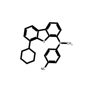 CN(c1ccc(C#N)cc1)c1cccc2c1sc1c(C3CCCCC3)cccc12